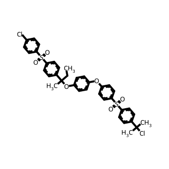 CCC(C)(Oc1ccc(Oc2ccc(S(=O)(=O)c3ccc(C(C)(C)Cl)cc3)cc2)cc1)c1ccc(S(=O)(=O)c2ccc(Cl)cc2)cc1